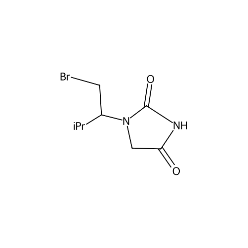 CC(C)C(CBr)N1CC(=O)NC1=O